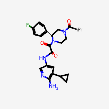 CC(C)C(=O)N1CCN(C(=O)C(=O)Nc2cnc(N)c(C3CC3)c2)[C@H](c2ccc(F)cc2)C1